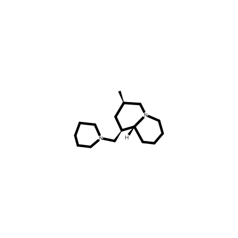 C[C@@H]1C[C@H](CN2CCCCC2)[C@H]2CCCCN2C1